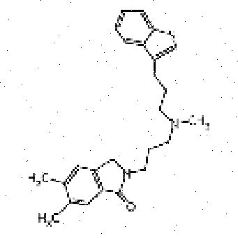 Cc1cc2c(cc1C)C(=O)N(CCCN(C)CCCc1csc3ccccc13)C2